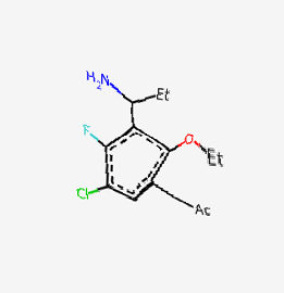 CCOc1c(C(C)=O)cc(Cl)c(F)c1C(N)CC